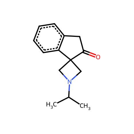 CC(C)N1CC2(C1)C(=O)Cc1ccccc12